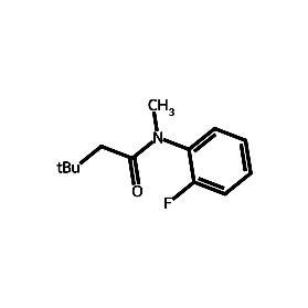 CN(C(=O)CC(C)(C)C)c1ccccc1F